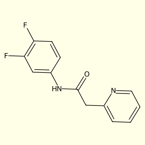 O=C(Cc1ccccn1)Nc1ccc(F)c(F)c1